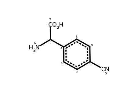 N#Cc1ccc(C(N)C(=O)O)cc1